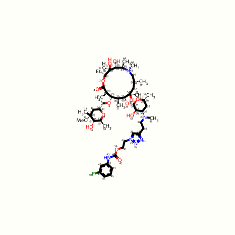 CC[C@H]1OC(=O)[C@H](C)[C@@H](OC[C@H]2C[C@@](C)(OC)[C@@H](O)[C@H](C)O2)[C@H](C)[C@@H](O[C@@H]2O[C@H](C)C[C@H](N(C)CCc3cn(CCOC(=O)Nc4cccc(F)c4)nn3)[C@H]2O)[C@](C)(O)C[C@@H](C)CN(C)[C@H](C)[C@@H](O)[C@]1(C)O